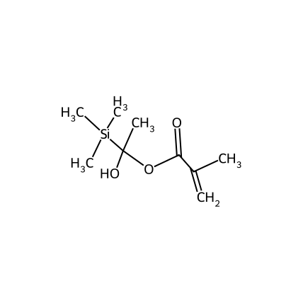 C=C(C)C(=O)OC(C)(O)[Si](C)(C)C